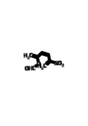 C=C(/C=C\C(=C)[N+](=O)[O-])OC=O